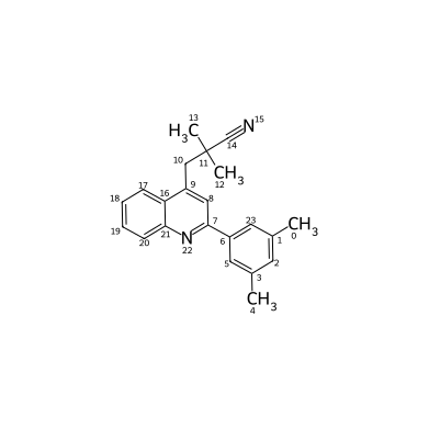 Cc1cc(C)cc(-c2cc(CC(C)(C)C#N)c3ccccc3n2)c1